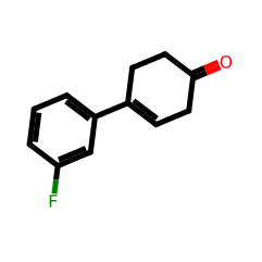 O=C1CC=C(c2cccc(F)c2)CC1